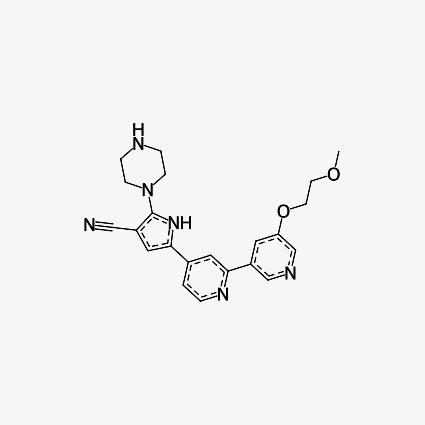 COCCOc1cncc(-c2cc(-c3cc(C#N)c(N4CCNCC4)[nH]3)ccn2)c1